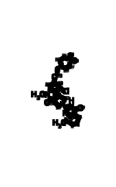 CN1CCCc2c1nc(N1CCC3(CC1)C(=O)N(C)c1cc(OCCN4CCS(=O)(=O)CC4)cc(Cl)c13)[nH]c2=O